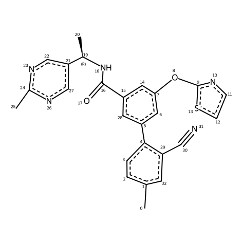 Cc1ccc(-c2cc(Oc3nccs3)cc(C(=O)N[C@H](C)c3cnc(C)nc3)c2)c(C#N)c1